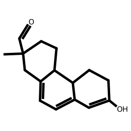 CC1(C=O)CCC2C(=CC=C3C=C(O)CCC32)C1